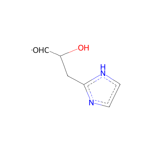 O=[C]C(O)Cc1ncc[nH]1